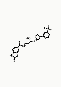 CN1C(=O)Cc2cc(C(=O)NCC[C@@H](O)CN3CCC(c4cccc(C(F)(F)F)c4)C3)ccc21